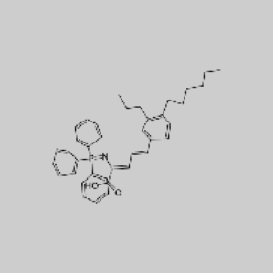 CCCCCCc1ccc(C=CC=C(N=P(c2ccccc2)(c2ccccc2)c2ccccc2)C(=O)O)cc1CCC